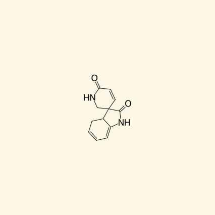 O=C1C=CC2(CN1)C(=O)NC1=CC=CCC12